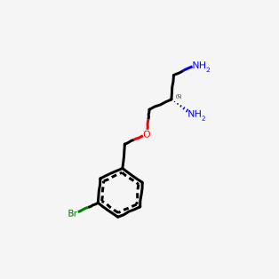 NC[C@H](N)COCc1cccc(Br)c1